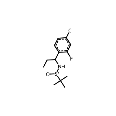 CCC(N[S+]([O-])C(C)(C)C)c1ccc(Cl)cc1F